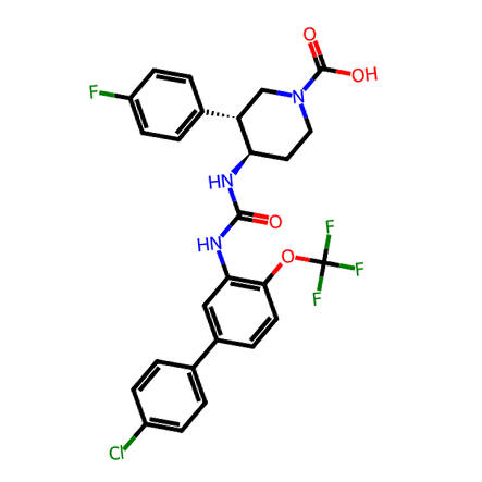 O=C(Nc1cc(-c2ccc(Cl)cc2)ccc1OC(F)(F)F)N[C@@H]1CCN(C(=O)O)C[C@H]1c1ccc(F)cc1